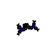 CC(C)c1ccc(N(c2ccc(C(C)C)cc2)c2ccc3cc4c(cc3c2)C([Si](C)(C)C)([Si](C)(C)C)c2cc3cc(N(c5ccc(C(C)C)cc5)c5ccc(C(C)C)cc5)ccc3cc2-4)cc1